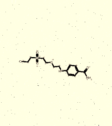 NC(=O)c1ccc(NCCOCCS(=O)(=O)CCCl)cc1